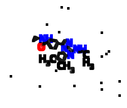 CCCNc1nc2cc(C)c(C)cc2n2c(-c3ccc(C(=O)NC4CC4)cc3)cnc12